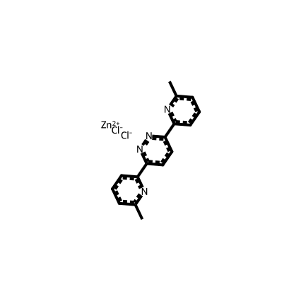 Cc1cccc(-c2ccc(-c3cccc(C)n3)nn2)n1.[Cl-].[Cl-].[Zn+2]